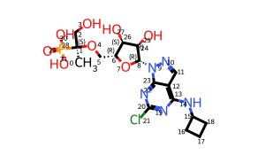 C[C@](CO)(OC[C@H]1O[C@@H](n2ncc3c(NC4CCC4)nc(Cl)nc32)[C@H](O)[C@@H]1O)P(=O)(O)O